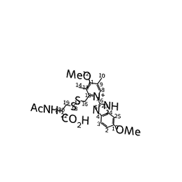 COc1ccc2nc(-[n+]3cc(C)c(OC)c(C)c3CSSCC(NC(C)=O)C(=O)O)[nH]c2c1